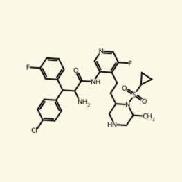 CC1CNCC(CCc2c(F)cncc2NC(=O)C(N)C(c2ccc(Cl)cc2)c2cccc(F)c2)N1S(=O)(=O)C1CC1